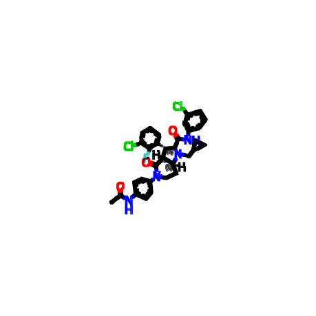 CC(=O)Nc1ccc(N2CC[C@H]3[C@@H](C2=O)[C@H](c2cccc(Cl)c2F)C(C(=O)Nc2cccc(Cl)c2)N3CC2CC2)cc1